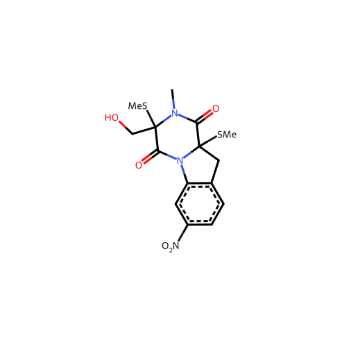 CSC1(CO)C(=O)N2c3cc([N+](=O)[O-])ccc3CC2(SC)C(=O)N1C